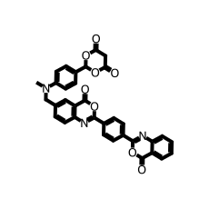 CN(Cc1ccc2nc(-c3ccc(-c4nc5ccccc5c(=O)o4)cc3)oc(=O)c2c1)c1ccc(C2OC(=O)CC(=O)O2)cc1